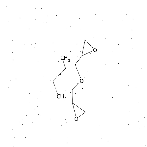 C(OCC1CO1)C1CO1.CCCC